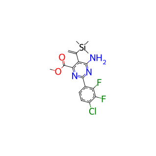 C=C(c1c(N)nc(-c2ccc(Cl)c(F)c2F)nc1C(=O)OC)[Si](C)(C)C